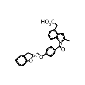 Cc1cc2c(CC(=O)O)cccc2n1C(=O)c1ccc(OC[C@H]2Cc3ccccc3O2)cc1